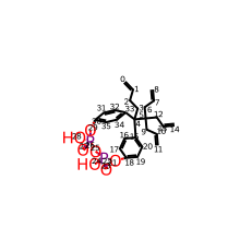 C=CCCC1(C(CC=C)(CC=C)CC=C)c2ccc(cc2)OP(=O)(O)OP(=O)(O)Oc2ccc1cc2